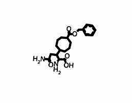 NC(=O)CC(C1CCCC(C(=O)OCc2ccccc2)CCC1)C(N)C(=O)O